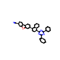 N#Cc1ccc2c(c1)oc1cc(-c3ccc(-c4nc(-c5ccccc5)nc(-c5ccccc5)n4)c4ccccc34)ccc12